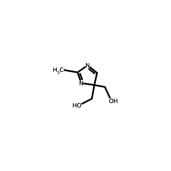 CC1=NC(CO)(CO)C=N1